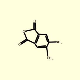 Cc1cc2c(cc1N)C(=O)OC2=O